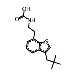 CC(C)(C)Cc1csc2c(CCNC(=O)O)cccc12